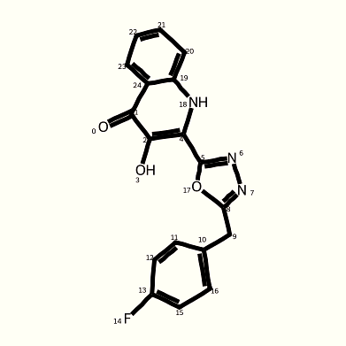 O=c1c(O)c(-c2nnc(Cc3ccc(F)cc3)o2)[nH]c2ccccc12